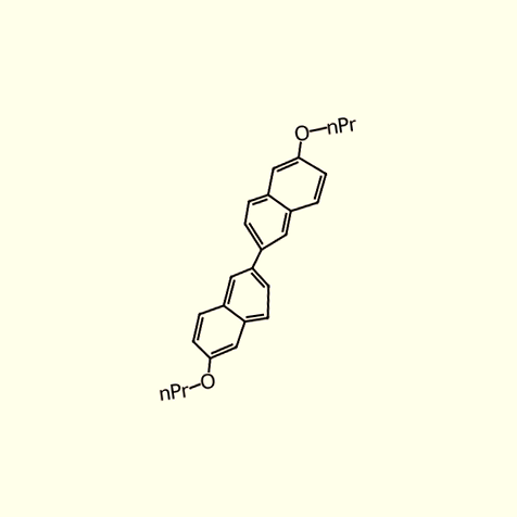 CCCOc1ccc2cc(-c3ccc4cc(OCCC)ccc4c3)ccc2c1